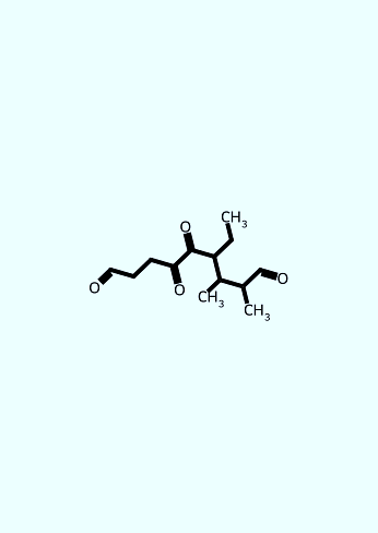 CCC(C(=O)C(=O)CCC=O)C(C)C(C)C=O